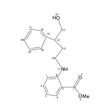 COC(=O)c1ccccc1NCCC(CO)c1ccccc1